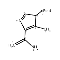 C=C(N)C1=C(C)C(CCCCC)C=N1